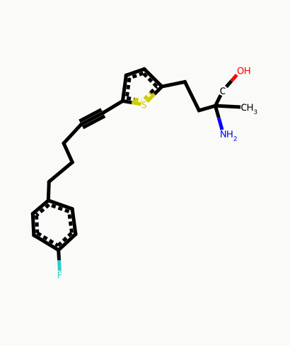 CC(N)(CO)CCc1ccc(C#CCCCc2ccc(F)cc2)s1